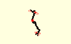 CCC(=O)C(CCCCCCCOOc1ccc(CCCCCCCC(C(=O)CC)C(=O)CC)cc1)C(=O)CC